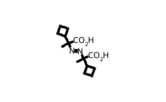 CC(N=NC(C)(C(=O)O)C1CCC1)(C(=O)O)C1CCC1